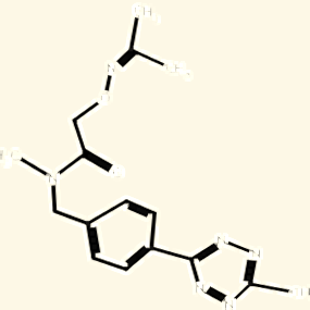 CC(C)=NOCC(=O)N(C)Cc1ccc(-c2nnc(C)nn2)cc1